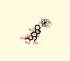 C[C@H](C(O)CO)[C@H]1C(O)C[C@H]2[C@@H]3CC=C4C[C@@H](O[Si](C)(C)C(C)(C)C)CC[C@]4(C)[C@H]3CC[C@]12C